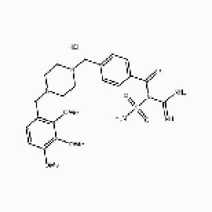 COc1ccc(CN2CCN(Cc3ccc(C(=O)N(C(=N)N)S(N)(=O)=O)cc3)CC2)c(OC)c1OC.Cl